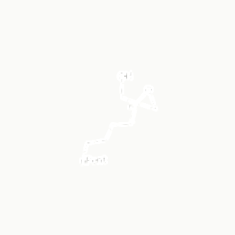 CCCCCCCCC[C@@]1(CO)CO1